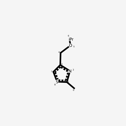 Cc1nc(COC(C)C)cs1